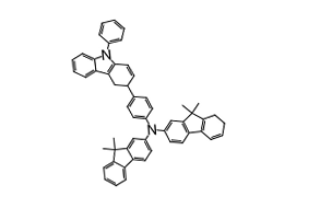 CC1(C)C2=C(C=CCC2)c2ccc(N(c3ccc(C4C=Cc5c(c6ccccc6n5-c5ccccc5)C4)cc3)c3ccc4c(c3)C(C)(C)c3ccccc3-4)cc21